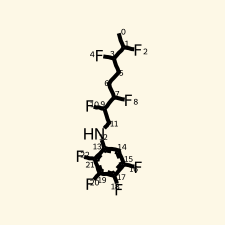 CC(F)C(F)CCC(F)C(F)CNc1cc(F)c(F)c(F)c1F